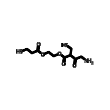 NCC(=O)C(CS)C(=O)OCCOC(=O)CCS